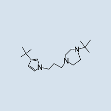 CC(C)(C)c1ccn(CCCN2CCN(C(C)(C)C)CC2)c1